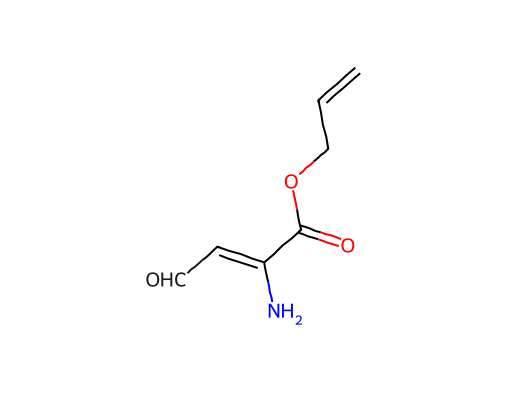 C=CCOC(=O)C(N)=CC=O